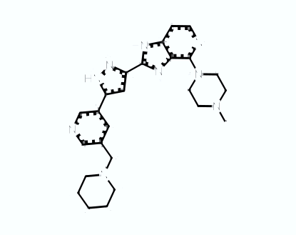 CN1CCN(c2nccc3[nH]c(-c4cc(-c5cncc(CN6CCCCC6)c5)[nH]n4)nc23)CC1